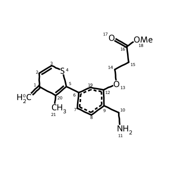 C=C1C=CSC(c2ccc(CN)c(OCCC(=O)OC)c2)=C1C